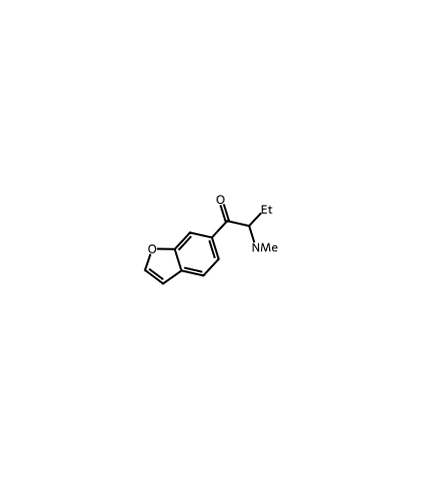 CCC(NC)C(=O)c1ccc2ccoc2c1